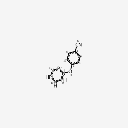 N#Cc1ccc(On2pn[pH][nH][pH]2)cc1